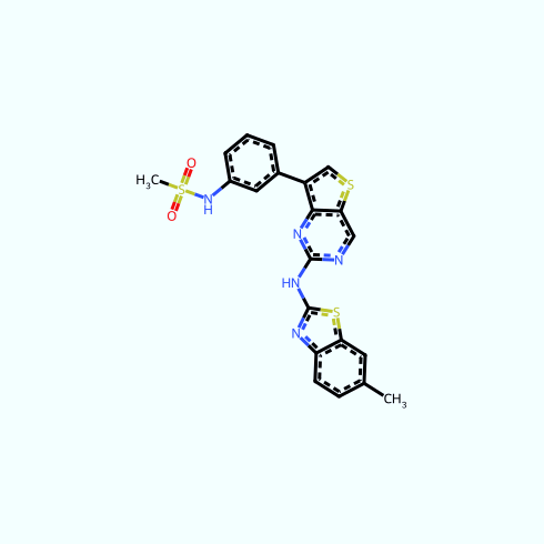 Cc1ccc2nc(Nc3ncc4scc(-c5cccc(NS(C)(=O)=O)c5)c4n3)sc2c1